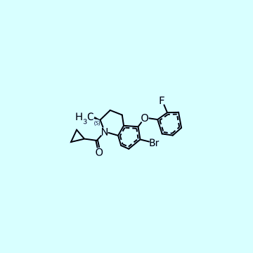 C[C@H]1CCc2c(ccc(Br)c2Oc2ccccc2F)N1C(=O)C1CC1